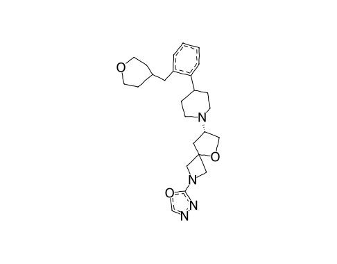 c1ccc(C2CCN([C@@H]3COC4(C3)CN(c3nnco3)C4)CC2)c(CC2CCOCC2)c1